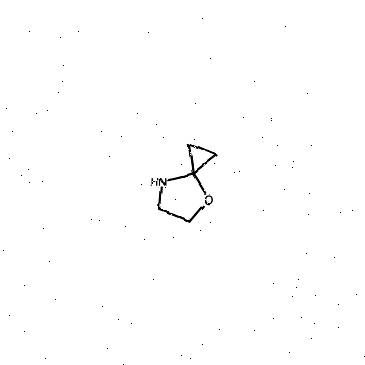 C1COC2(CC2)N1